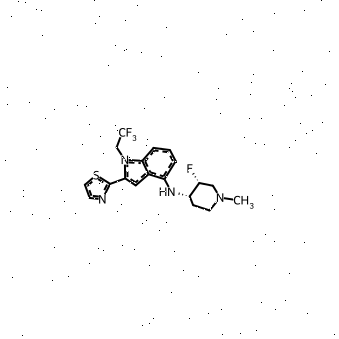 CN1CC[C@H](Nc2cccc3c2cc(-c2nccs2)n3CC(F)(F)F)[C@H](F)C1